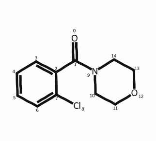 O=C(c1ccccc1Cl)N1CCOCC1